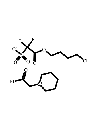 CCC(=O)C[S+]1CCCCC1.O=C(OCCCCCl)C(F)(F)S(=O)(=O)[O-]